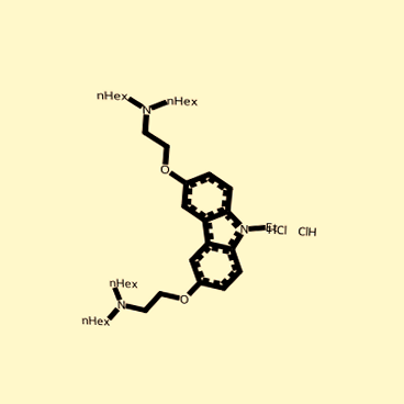 CCCCCCN(CCCCCC)CCOc1ccc2c(c1)c1cc(OCCN(CCCCCC)CCCCCC)ccc1n2CC.Cl.Cl